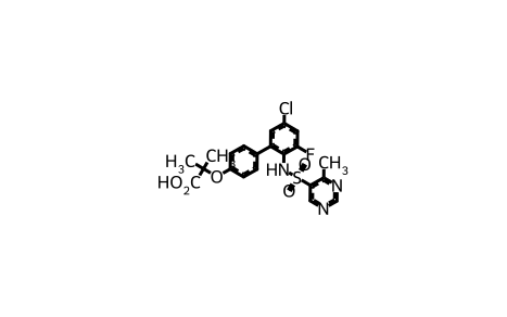 Cc1ncncc1S(=O)(=O)Nc1c(F)cc(Cl)cc1-c1ccc(OC(C)(C)C(=O)O)cc1